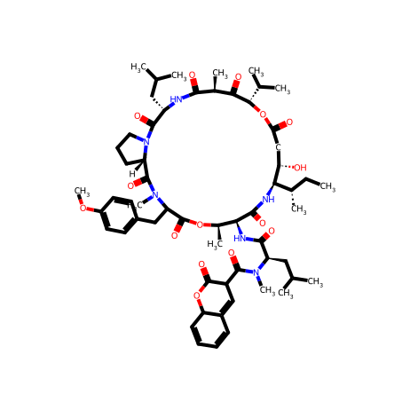 CC[C@H](C)[C@H]1NC(=O)[C@@H](NC(=O)[C@@H](CC(C)C)N(C)C(=O)C2C=C3C=CC=CC3OC2=O)[C@@H](C)OC(=O)C(Cc2ccc(OC)cc2)N(C)C(=O)[C@@H]2CCCN2C(=O)[C@H](CC(C)C)NC(=O)[C@@H](C)C(=O)[C@H](C(C)C)OC(=O)C[C@@H]1O